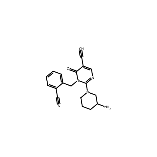 C#Cc1cnc(N2CCCC(N)C2)n(Cc2ccccc2C#N)c1=O